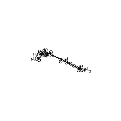 NOCC(=O)NCCOCCOCCOCCNC(=O)CCCCCCCNC(=O)CC[C@H](NC(=O)N[C@@H](CCC(=O)O)C(=O)O)C(=O)O